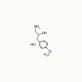 COc1ccc(CC(O)CN)cc1.Cl